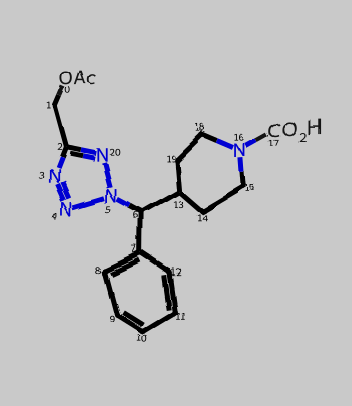 CC(=O)OCc1nnn(C(c2ccccc2)C2CCN(C(=O)O)CC2)n1